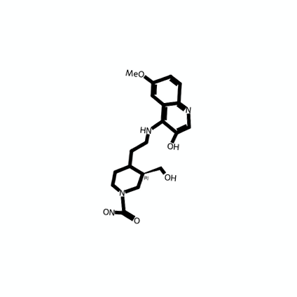 COc1ccc2ncc(O)c(NCCC3CCN(C(=O)N=O)C[C@@H]3CO)c2c1